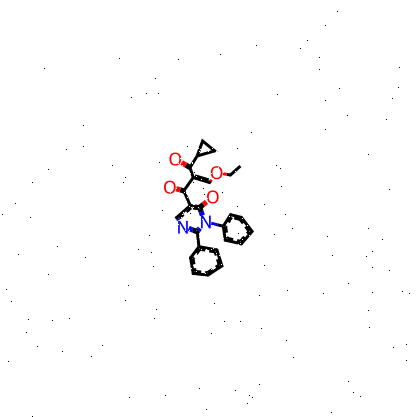 CCOC=C(C(=O)c1cnc(-c2ccccc2)n(-c2ccccc2)c1=O)C(=O)C1CC1